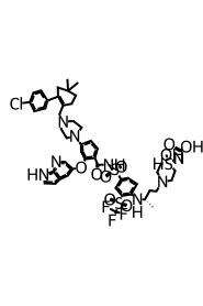 C[C@@H](CCN1CC[SH](O)(=NC(=O)O)CC1)Nc1ccc(S(=O)(=O)NC(=O)c2ccc(N3CCN(CC4=C(c5ccc(Cl)cc5)CC(C)(C)CC4)CC3)cc2Oc2cnc3[nH]ccc3c2)cc1S(=O)(=O)C(F)(F)F